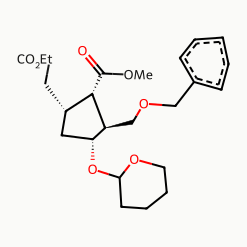 CCOC(=O)C[C@H]1C[C@@H](OC2CCCCO2)[C@H](COCc2ccccc2)[C@H]1C(=O)OC